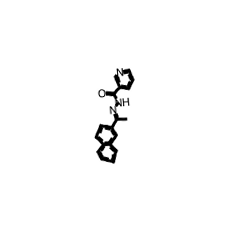 CC(=NNC(=O)c1cccnc1)c1ccc2ccccc2c1